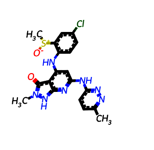 Cc1ccc(Nc2cc(Nc3ccc(Cl)cc3[S+](C)[O-])c3c(=O)n(C)[nH]c3n2)nn1